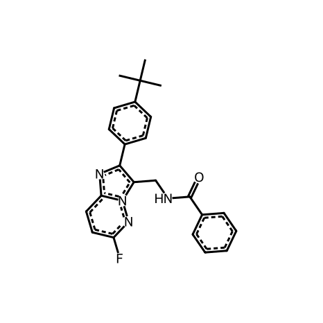 CC(C)(C)c1ccc(-c2nc3ccc(F)nn3c2CNC(=O)c2ccccc2)cc1